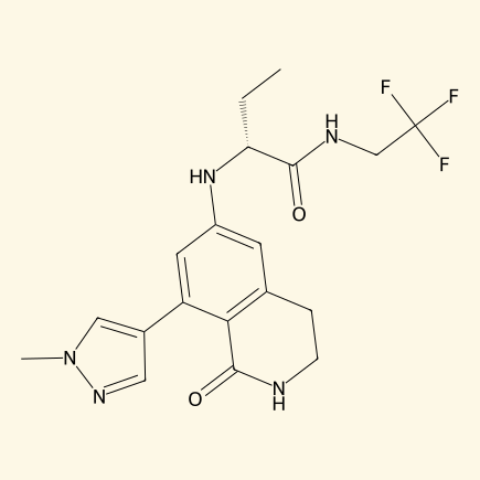 CC[C@@H](Nc1cc2c(c(-c3cnn(C)c3)c1)C(=O)NCC2)C(=O)NCC(F)(F)F